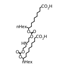 CCCCCCC(CCCCCCCCC(=O)O)OC(=O)OCCNCCOC(=O)OC(CCCCCC)CCCCCCCCC(=O)O